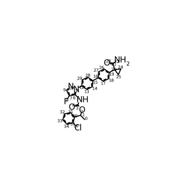 CC(OC(=O)Nc1c(F)cnn1-c1ccc(-c2ccc(C3(C(N)=O)CC3)cc2)cc1)c1ccccc1Cl